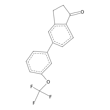 O=C1CCc2cc(-c3cccc(OC(F)(F)F)c3)ccc21